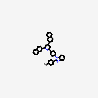 [2H]c1ccc(-c2nc3ccccc3n2-c2ccc(-c3cc(-c4ccc5ccccc5c4)cc(-c4ccc5ccccc5c4)n3)cc2)cc1